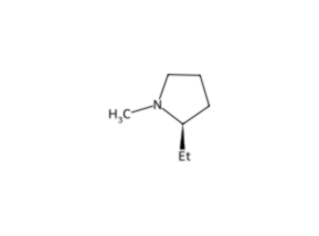 CC[C@@H]1CCCN1C